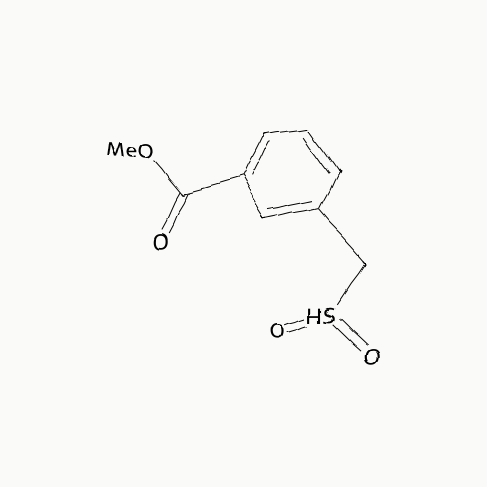 COC(=O)c1cccc(C[SH](=O)=O)c1